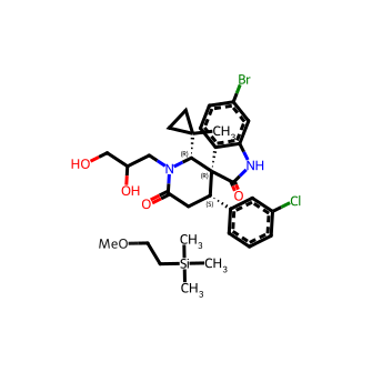 CC1([C@H]2N(CC(O)CO)C(=O)C[C@@H](c3cccc(Cl)c3)[C@]23C(=O)Nc2cc(Br)ccc23)CC1.COCC[Si](C)(C)C